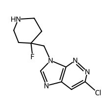 FC1(Cn2cnc3cc(Cl)nnc32)CCNCC1